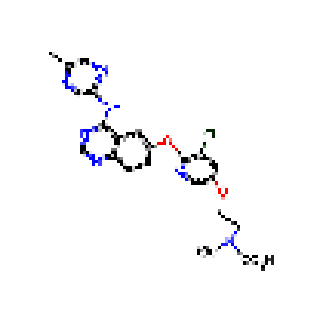 Cc1cnc(Nc2ncnc3ccc(Oc4ncc(OCCN(C(=O)O)C(C)(C)C)cc4Cl)cc23)cn1